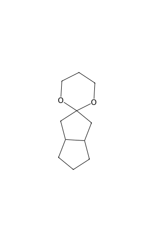 C1COC2(CC3CCCC3C2)OC1